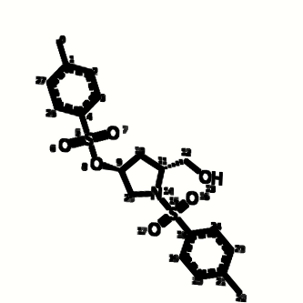 Cc1ccc(S(=O)(=O)O[C@H]2C[C@H](CO)N(S(=O)(=O)c3ccc(C)cc3)C2)cc1